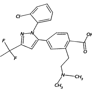 CN(C)CCc1cc(-c2cc(C(F)(F)F)nn2-c2ccccc2Cl)ccc1C(=O)O